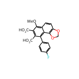 COc1c(C(=O)O)c(C(=O)O)c(-c2ccc(F)cc2)c2c3c(ccc12)OCO3